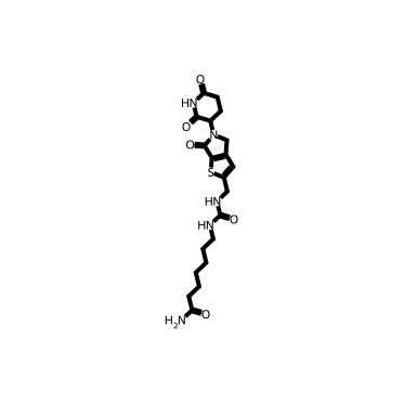 NC(=O)CCCCCCNC(=O)NCc1cc2c(s1)C(=O)N(C1CCC(=O)NC1=O)C2